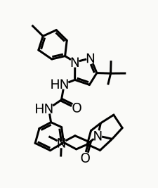 Cc1ccc(-n2nc(C(C)(C)C)cc2NC(=O)Nc2cccc(CC3CC4CCC(C3)N4C(=O)CN(C)C)c2)cc1